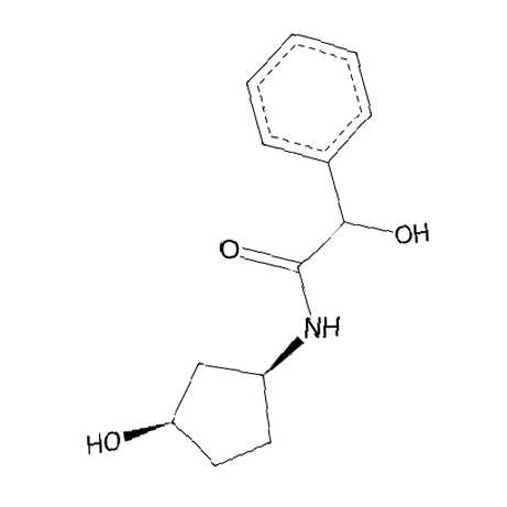 O=C(N[C@H]1CC[C@@H](O)C1)C(O)c1ccccc1